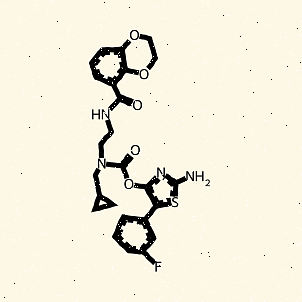 Nc1nc(OC(=O)N(CCNC(=O)c2cccc3c2OCCO3)CC2CC2)c(-c2cccc(F)c2)s1